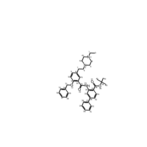 CCN1CCN(CCc2ccc(OCc3ccccc3)c(C(=O)Nc3cc(-c4ccccc4)ccc3C(=O)OC(C)(C)C)c2)CC1